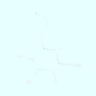 CC(=O)OCOC1OC(O)C(C)C(O)C1O